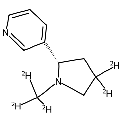 [2H]C1([2H])C[C@@H](c2cccnc2)N(C([2H])([2H])[2H])C1